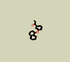 CCC(=O)c1cccc(Oc2cccc3ccccc23)c1